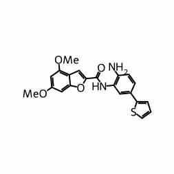 COc1cc(OC)c2cc(C(=O)Nc3cc(-c4cccs4)ccc3N)oc2c1